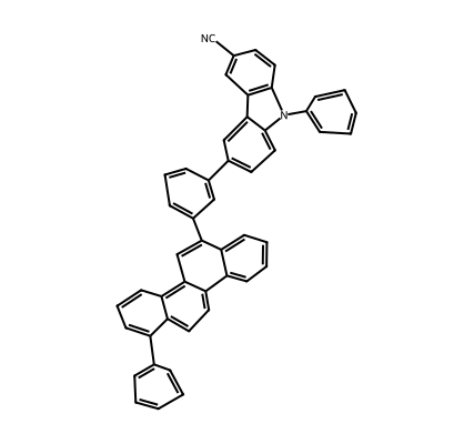 N#Cc1ccc2c(c1)c1cc(-c3cccc(-c4cc5c6cccc(-c7ccccc7)c6ccc5c5ccccc45)c3)ccc1n2-c1ccccc1